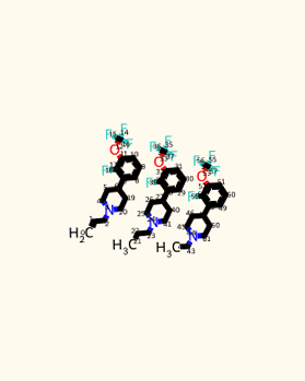 C=CCN1CCC(c2cccc(OC(F)(F)F)c2F)CC1.CCCN1CCC(c2cccc(OC(F)(F)F)c2F)CC1.CCN1CCC(c2cccc(OC(F)(F)F)c2F)CC1